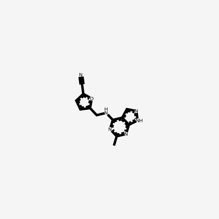 Cc1nc(NCc2ccc(C#N)o2)c2cn[nH]c2n1